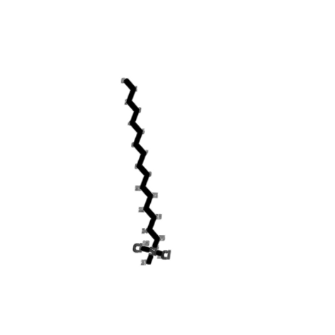 CCCCCCCCCCCCCCCC[Si](C)(Cl)Cl